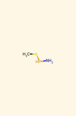 CSPN